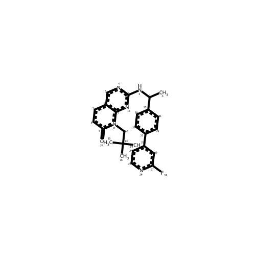 CC(Nc1ncc2ccc(=O)n(CC(C)(C)C)c2n1)c1ccc(-c2ccnc(F)c2)cc1